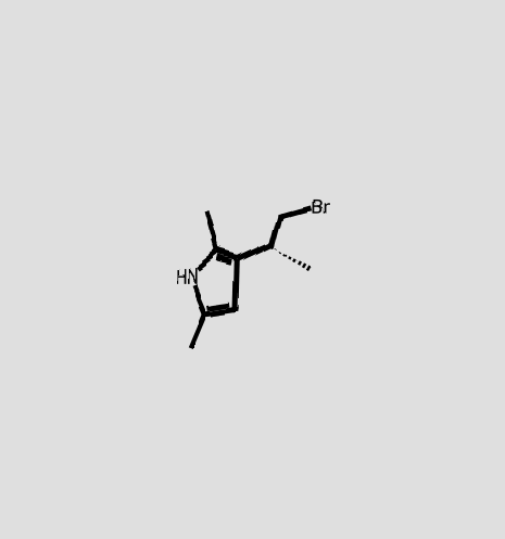 Cc1cc([C@@H](C)CBr)c(C)[nH]1